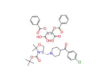 CC(C)(C)OC(=O)N1[C@@H](CN2CCC(C(=O)c3ccc(Cl)cc3)CC2)COC1(C)C.O=C(O[C@@H](C(=O)O)[C@@H](OC(=O)c1ccccc1)C(=O)O)c1ccccc1